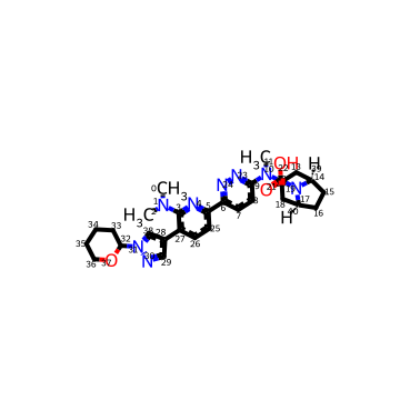 CN(C)c1nc(-c2ccc(N(C)C3C[C@H]4CC[C@@H](C3)N4C(=O)O)nn2)ccc1-c1cnn(C2CCCCO2)c1